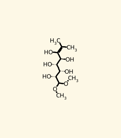 COC(OC)[C@H](O)[C@@H](O)[C@H](O)[C@H](O)C(O)=C(C)C